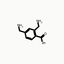 CC(C)C(=O)c1ccc(CN)cc1CN